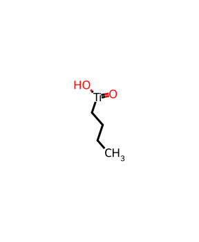 CCC[CH2][Ti](=[O])[OH]